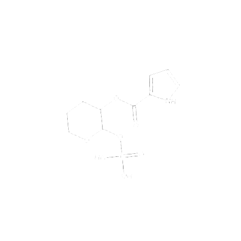 O=C(OC1CCCOC1OP(=O)(O)O)c1ccc[nH]1